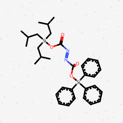 CC(C)C[Si](CC(C)C)(CC(C)C)OC(=O)N=NC(=O)O[Si](c1ccccc1)(c1ccccc1)c1ccccc1